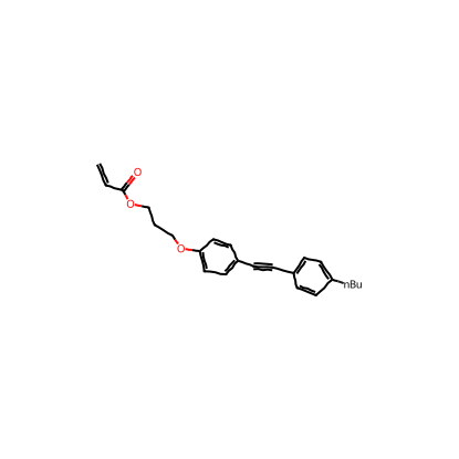 C=CC(=O)OCCCOc1ccc(C#Cc2ccc(CCCC)cc2)cc1